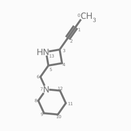 CC#CC1CC(CN2CCCCC2)N1